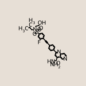 CC(C)CN(CC(=O)O)S(=O)(=O)c1ccc(C#Cc2ccc(-c3cc(C(=O)NN)c4cnccc4n3)cc2)c(F)c1